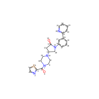 O=C(c1nccs1)N1CCN(C2CC(=O)N(c3cccc(-c4ccccn4)c3)C2)CC1